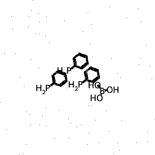 OB(O)O.Pc1ccccc1.Pc1ccccc1.Pc1ccccc1